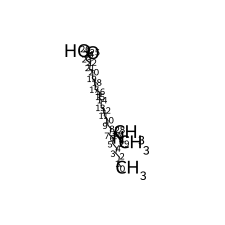 CCCCCCC(CCCCCCCCC=CCCCCCCCC(=O)O)N(C)C